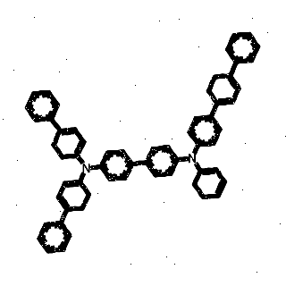 C1=CCCC(N(c2ccc(C3=CC=C(c4ccccc4)CC3)cc2)c2ccc(-c3ccc(N(C4=CC=C(c5ccccc5)CC4)C4=CC=C(c5ccccc5)CC4)cc3)cc2)=C1